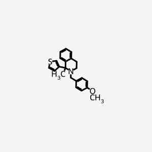 COc1ccc(CN2CCc3ccccc3C2(C)c2ccsc2)cc1